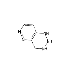 c1cc2c(nn1)CNNN2